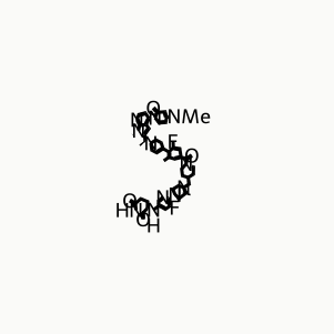 CNc1ccn(-c2ccnc3c2cc([C@H](C)N2CC=C(c4c(C)cc(C(=O)N5CCC(CN6CCN(c7ncc(NC8CCC(=O)NC8=O)cc7F)C[C@@H]6C)CC5)cc4F)CC2)n3C)c(=O)c1